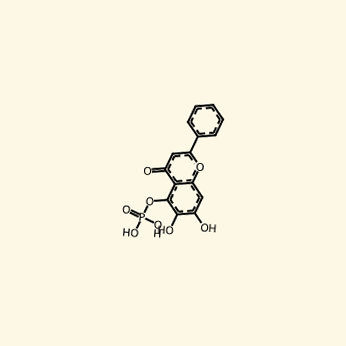 O=c1cc(-c2ccccc2)oc2cc(O)c(O)c(OP(=O)(O)O)c12